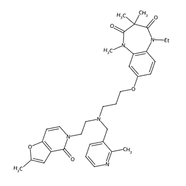 CCN1C(=O)C(C)(C)C(=O)N(C)c2cc(OCCCN(CCn3ccc4oc(C)cc4c3=O)Cc3cccnc3C)ccc21